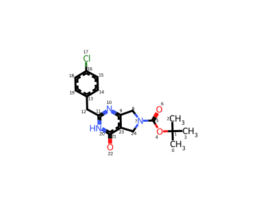 CC(C)(C)OC(=O)N1Cc2nc(Cc3ccc(Cl)cc3)[nH]c(=O)c2C1